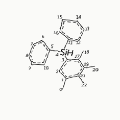 Cc1cc([SiH](c2ccccc2)c2ccccc2)c(C)c(C)c1C